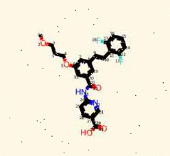 COCCCOc1cc(/C=C/c2c(F)cccc2F)cc(C(=O)Nc2ccc(C(=O)O)cn2)c1